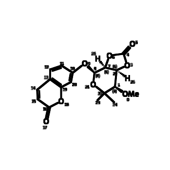 CO[C@@H]1[C@@H]2OC(=O)O[C@@H]2[C@H](Oc2ccc3ccc(=O)oc3c2)OC1(C)C